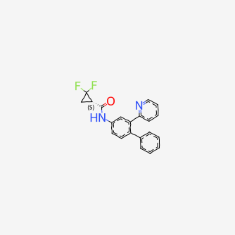 O=C(Nc1ccc(-c2ccccc2)c(-c2ccccn2)c1)[C@@H]1CC1(F)F